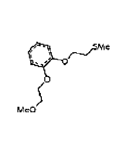 COCCOc1ccccc1OCCSC